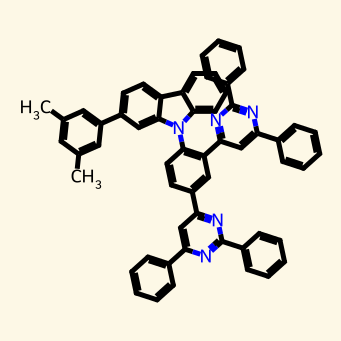 Cc1cc(C)cc(-c2ccc3c4ccccc4n(-c4ccc(-c5cc(-c6ccccc6)nc(-c6ccccc6)n5)cc4-c4cc(-c5ccccc5)nc(-c5ccccc5)n4)c3c2)c1